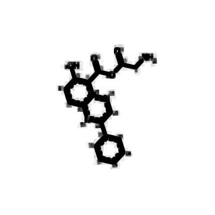 NCC(=O)OC(=O)c1c(O)ccc2nc(-c3ccccc3)cnc12